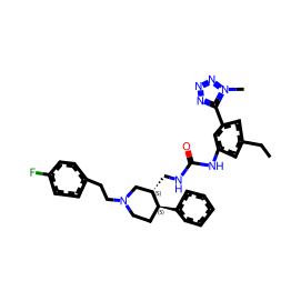 CCc1cc(NC(=O)NC[C@H]2CN(CCc3ccc(F)cc3)CC[C@@H]2c2ccccc2)cc(-c2nnnn2C)c1